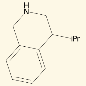 CC(C)C1CNCc2ccccc21